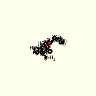 NC(=O)CC[C@H](NC(=O)[C@@H]1CC[C@@H]2CCNC[C@H](NC(=O)c3cc4cc(C(F)(F)P(=O)(O)O)ccc4s3)C(=O)N21)C(=O)N[C@H](C(=O)N1CCC(CCC#Cc2cccc3c2CN(C2CCC(=O)NC2=O)C3=O)CC1)C1CCCCC1